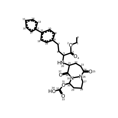 CCOC(=O)C(CCc1ccc(-c2ccccc2)cc1)NC1CCC(=O)N2CCCC(OC(=O)O)N2C1=O